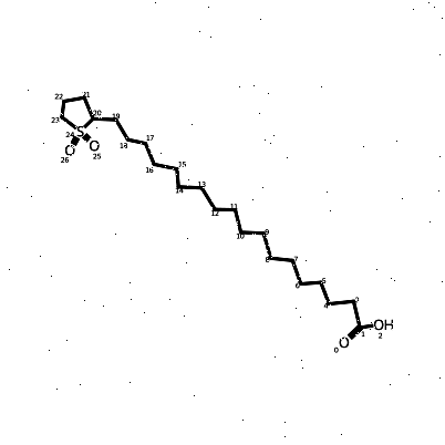 O=C(O)CCCCCCCCCCCCCCCCCC1CCCS1(=O)=O